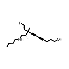 CCCCNC[C@@H](C)C(C)(C#CC#CCCCO)/C=C/F